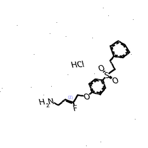 Cl.NC/C=C(\F)COc1ccc(S(=O)(=O)CCc2ccccc2)cc1